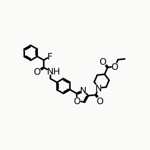 CCOC(=O)C1CCN(C(=O)c2coc(-c3ccc(CNC(=O)C(F)c4ccccc4)cc3)n2)CC1